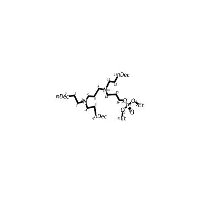 CCCCCCCCCCCCN(CCCCCCCCCCCC)CCCN(CCCCCCCCCCCC)CCCOP(=O)(OCC)OCC